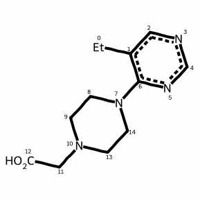 CCc1cncnc1N1CCN(CC(=O)O)CC1